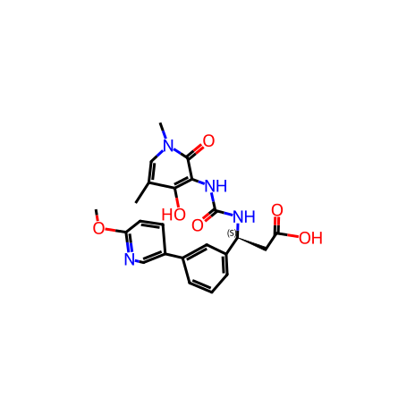 COc1ccc(-c2cccc([C@H](CC(=O)O)NC(=O)Nc3c(O)c(C)cn(C)c3=O)c2)cn1